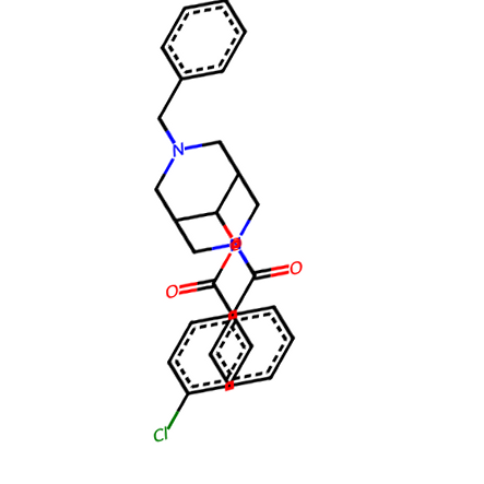 O=C(OC1C2CN(Cc3ccccc3)CC1CN(C(=O)c1ccc(Cl)cc1)C2)c1ccccc1